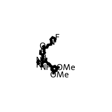 COc1cc(C#Cc2cn(C3CCN(C(=O)C=CCN4CCC(F)C4)C3)c3ncnc(N)c23)cc(OC)c1